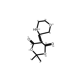 CC1(C)OC(=O)C(=C2COCCN2)C(=O)O1